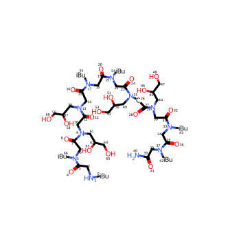 CCC(C)NCC(=O)N(CC(=O)N(CC(=O)N(CC(=O)N(CC(=O)N(CC(=O)N(CC(=O)N(CC(=O)N(CC(=O)N(CC(N)=O)C(C)CC)C(C)CC)CC(O)CO)CC(O)CO)C(C)CC)C(C)CC)CC(O)CO)CC(O)CO)C(C)CC